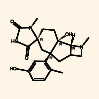 Cc1ccc(O)cc1[C@]12CC3CN(C)[C@H]3[C@]1(O)CC[C@]1(C2)C(=O)NC(=O)N1C